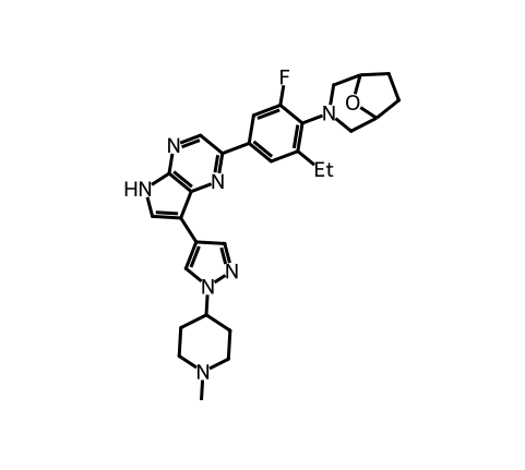 CCc1cc(-c2cnc3[nH]cc(-c4cnn(C5CCN(C)CC5)c4)c3n2)cc(F)c1N1CC2CCC(C1)O2